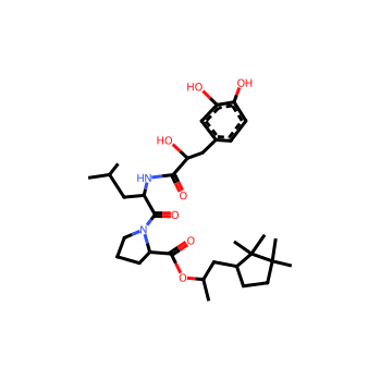 CC(C)CC(NC(=O)C(O)Cc1ccc(O)c(O)c1)C(=O)N1CCCC1C(=O)OC(C)CC1CCC(C)(C)C1(C)C